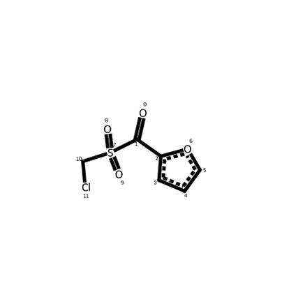 O=C(c1ccco1)S(=O)(=O)CCl